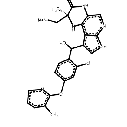 COC[C@]1(C)Nc2c(cnc3[nH]cc(C(O)c4ccc(Oc5ncccc5C)cc4Cl)c23)NC1=O